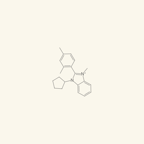 Cc1ccc(-c2n(C3CCCC3)c3ccccc3[n+]2C)c(C)c1